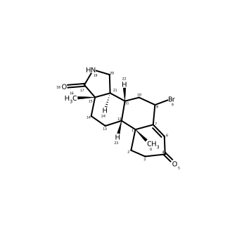 C[C@]12CCC(=O)C=C1C(Br)C[C@@H]1[C@H]2CC[C@]2(C)C(=O)NC[C@@H]12